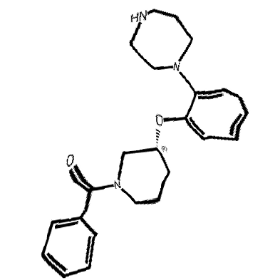 O=C(c1ccccc1)N1CCC[C@@H](Oc2ccccc2N2CCNCC2)C1